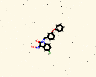 O=C1/C(=N\O)c2cc(F)ccc2N1Cc1cccc(Oc2ccccc2)c1